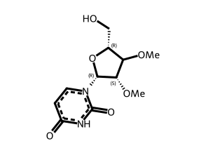 COC1[C@@H](CO)O[C@@H](n2ccc(=O)[nH]c2=O)[C@H]1OC